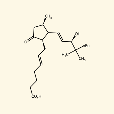 CCCCC(C)(C)[C@H](O)C=CC1[C@H](C)CC(=O)[C@@H]1CC=CCCCC(=O)O